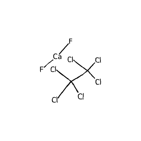 ClC(Cl)(Cl)C(Cl)(Cl)Cl.[F][Ca][F]